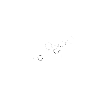 O=C(Cc1cc(C(F)(F)F)cc(C(F)(F)F)c1)N1CCCC[C@](CCN2CCC(N3CCCCC3)CC2)(c2ccc(Cl)c(Cl)c2)C1